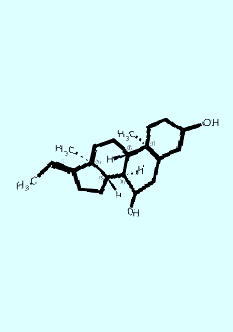 C/C=C1\CC[C@H]2[C@@H]3C(O)CC4CC(O)CC[C@]4(C)[C@H]3CC[C@]12C